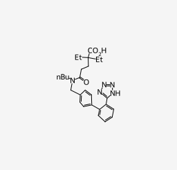 CCCCN(Cc1ccc(-c2ccccc2-c2nnn[nH]2)cc1)C(=O)CCC(CC)(CC)C(=O)O